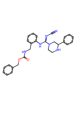 N#CN=C(Nc1ccccc1CNC(=O)OCc1ccccc1)N1CCNC(c2ccccc2)C1